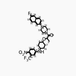 CC(OC1CCC(Nc2ccc([N+](=O)[O-])c(C(F)(F)F)c2)CC1)C(=O)N1CCN(c2ccc3cc(F)ccc3c2)CC1